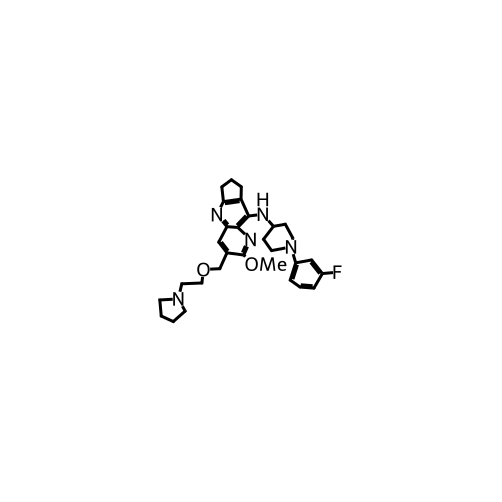 COc1nc2c(NC3CCN(c4cccc(F)c4)CC3)c3c(nc2cc1COCCN1CCCC1)CCC3